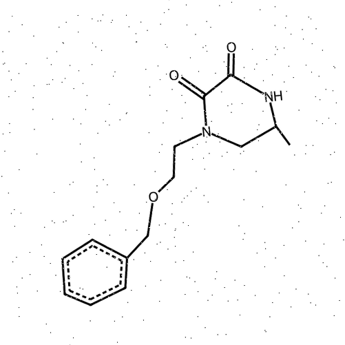 CC1CN(CCOCc2ccccc2)C(=O)C(=O)N1